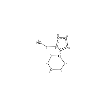 C1COCCO1.OCc1ccco1